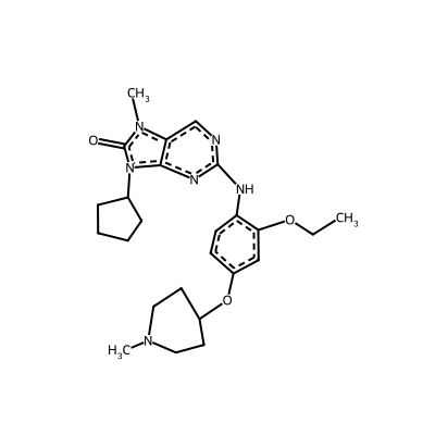 CCOc1cc(OC2CCN(C)CC2)ccc1Nc1ncc2c(n1)n(C1CCCC1)c(=O)n2C